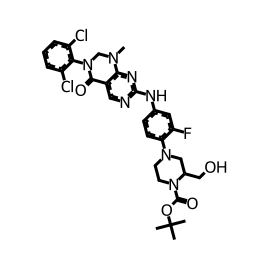 CN1CN(c2c(Cl)cccc2Cl)C(=O)c2cnc(Nc3ccc(N4CCN(C(=O)OC(C)(C)C)C(CO)C4)c(F)c3)nc21